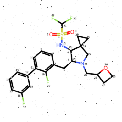 O=S(=O)(N[C@@H]1[C@H](Cc2cccc(-c3cccc(F)c3)c2F)N(CC2CCO2)CC12CC2)C(F)F